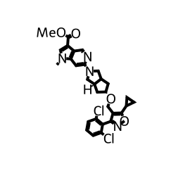 COC(=O)c1cn(C)c2cc(N3CC4C[C@H](OCc5c(-c6c(Cl)cccc6Cl)noc5C5CC5)C[C@H]4C3)ncc12